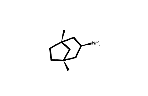 C[C@]12CC[C@](C)(C[C@@H](N)C1)C2